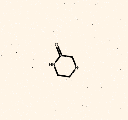 O=C1C[N]CCN1